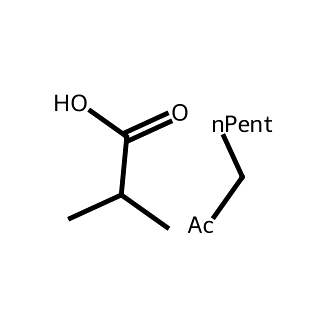 CC(C)C(=O)O.CCCCCCC(C)=O